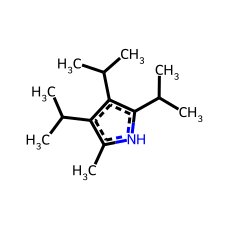 Cc1[nH]c(C(C)C)c(C(C)C)c1C(C)C